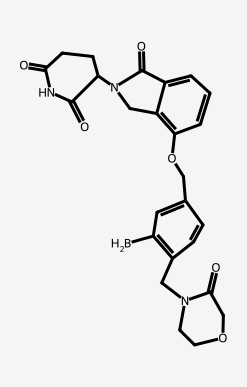 Bc1cc(COc2cccc3c2CN(C2CCC(=O)NC2=O)C3=O)ccc1CN1CCOCC1=O